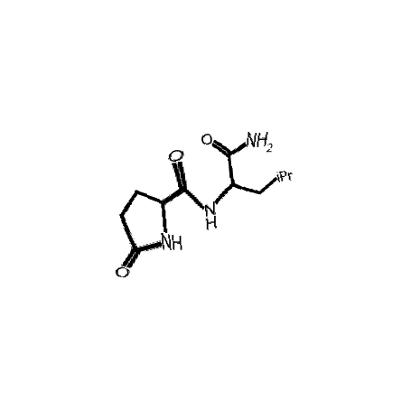 CC(C)CC(NC(=O)C1CCC(=O)N1)C(N)=O